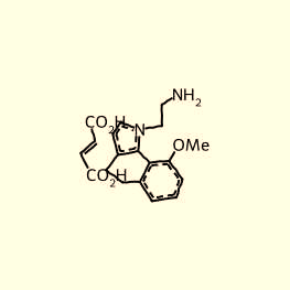 COc1cccc2c1-c1c(ccn1CCN)CC2.O=C(O)/C=C/C(=O)O